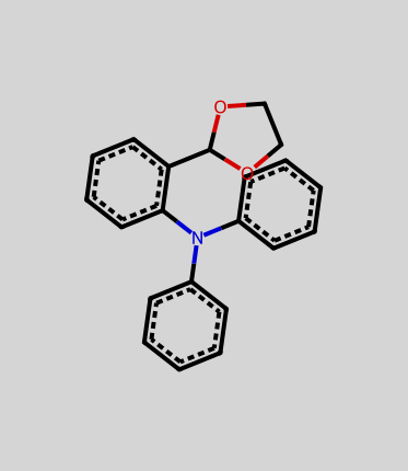 c1ccc(N(c2ccccc2)c2ccccc2C2OCCO2)cc1